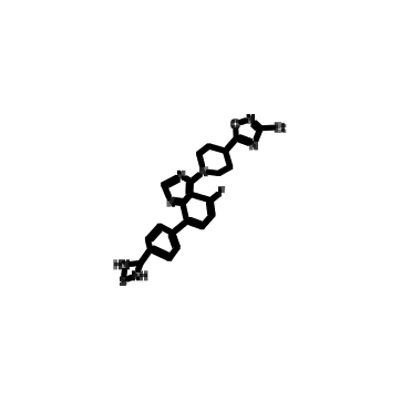 CCc1noc(C2CCN(c3ncnc4c(-c5ccc(C6NSN6)cc5)ccc(F)c34)CC2)n1